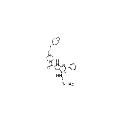 CC(=O)NCCNc1nc(-c2ccccc2)nc2c1CC(C(=O)N1CCN(CCCN3CCOCC3)CC1)N2